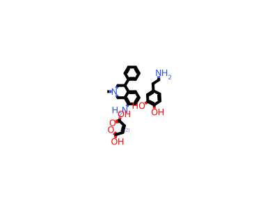 CN1Cc2c(N)cccc2C(c2ccccc2)C1.NCCc1ccc(O)c(O)c1.O=C(O)/C=C\C(=O)O